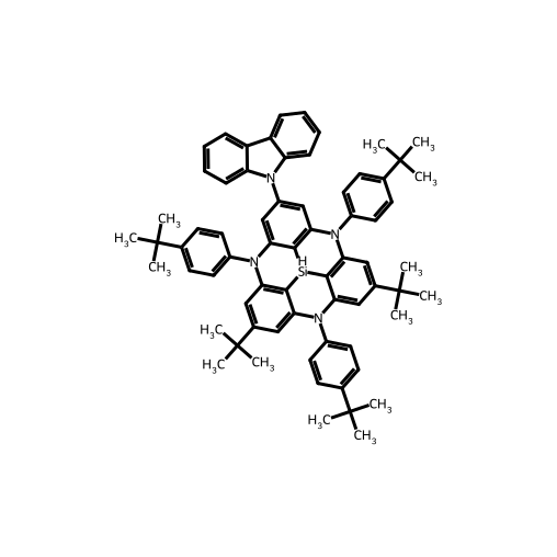 CC(C)(C)c1ccc(N2c3cc(-n4c5ccccc5c5ccccc54)cc4c3[SiH]3c5c2cc(C(C)(C)C)cc5N(c2ccc(C(C)(C)C)cc2)c2cc(C(C)(C)C)cc(c23)N4c2ccc(C(C)(C)C)cc2)cc1